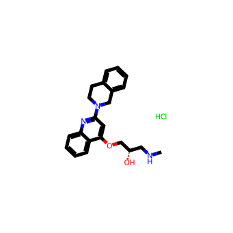 CNC[C@H](O)COc1cc(N2CCc3ccccc3C2)nc2ccccc12.Cl